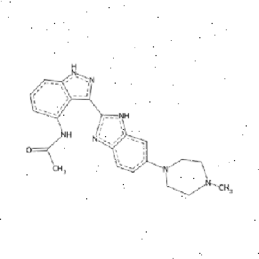 CC(=O)Nc1cccc2[nH]nc(-c3nc4ccc(N5CCN(C)CC5)cc4[nH]3)c12